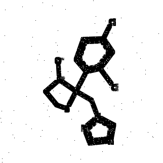 [O-][S+]1CCSC1(Cn1cncn1)c1ccc(Cl)cc1Cl